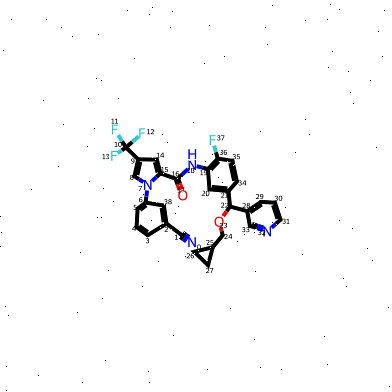 N#Cc1cccc(-n2cc(C(F)(F)F)cc2C(=O)Nc2cc(C(OCC3CC3)c3cccnc3)ccc2F)c1